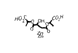 CC(OC(=O)CC(O)C(=O)OC(C)C(=O)O)C(=O)O.[Zn].[Zn]